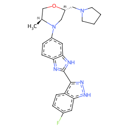 C[C@H]1CO[C@H](CN2CCCC2)CN1c1ccc2nc(-c3n[nH]c4cc(F)ccc34)[nH]c2c1